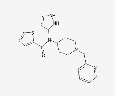 O=C(c1cccs1)N(C1CCN(Cc2ccccn2)CC1)C1C=CNN1